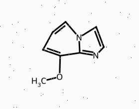 COc1cccn2c[c]nc12